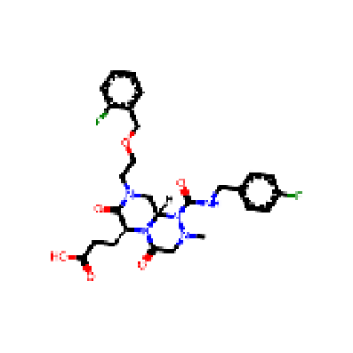 CN1CC(=O)N2[C@@H](CCC(=O)O)C(=O)N(CCOCc3ccccc3F)C[C@@H]2N1C(=O)NCc1ccc(F)cc1